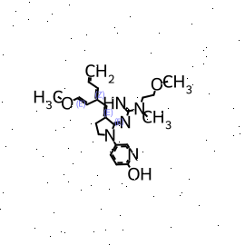 C=C/C=C(\C=C\OC)/C=C1\CCN(c2ccc(O)nc2)\C1=N\C(=N)N(C)CCOC